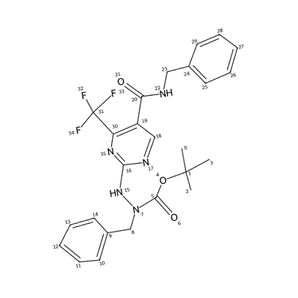 CC(C)(C)OC(=O)N(Cc1ccccc1)Nc1ncc(C(=O)NCc2ccccc2)c(C(F)(F)F)n1